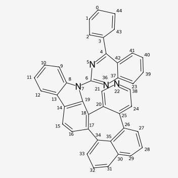 c1ccc(-c2nc(-n3c4ccccc4c4ccc5c(c43)-c3cnccc3-c3cccc4cccc-5c34)nc3ccccc23)cc1